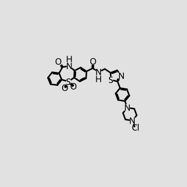 O=C(NCc1cnc(-c2ccc(N3CCN(Cl)CC3)cc2)s1)c1ccc2c(c1)NC(=O)c1ccccc1S2(=O)=O